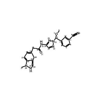 COC(c1cccc(C#N)c1)n1ncc(NC(=O)CC2=CC=C3C(=CNN3C)C2)n1